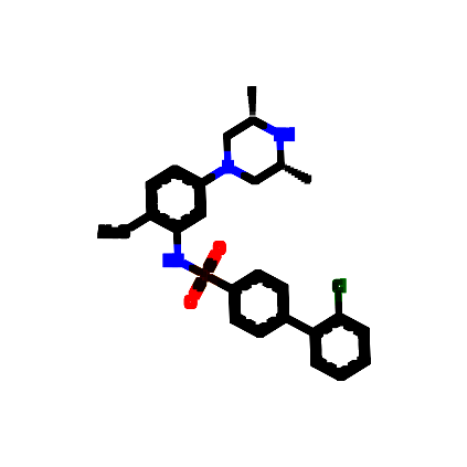 COc1ccc(N2C[C@@H](C)N[C@@H](C)C2)cc1NS(=O)(=O)c1ccc(-c2ccccc2Cl)cc1